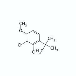 COc1ccc(C(C)(C)C)c(Cl)c1Cl